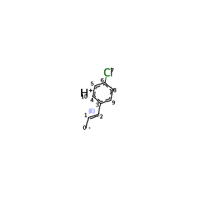 [CH2]/C=C/c1ccc(Cl)cc1.[H+]